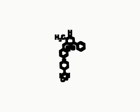 C[C@@H]1NCC(c2ccccc2)S(=O)(=O)C1Cc1ccc(N2CCC(c3ncon3)CC2)cc1F